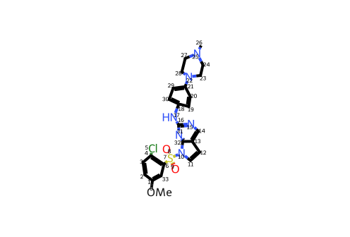 COc1ccc(Cl)c(S(=O)(=O)n2ccc3cnc(Nc4ccc(N5CCN(C)CC5)cc4)nc32)c1